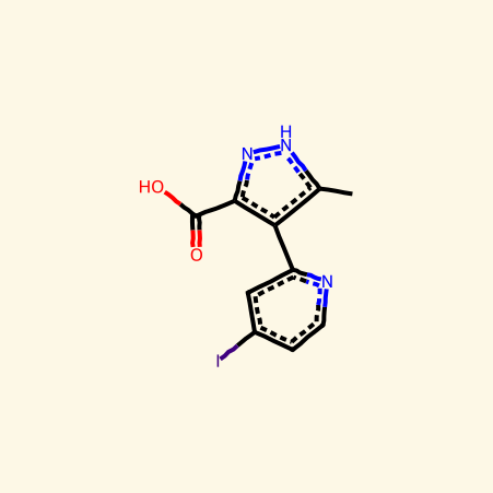 Cc1[nH]nc(C(=O)O)c1-c1cc(I)ccn1